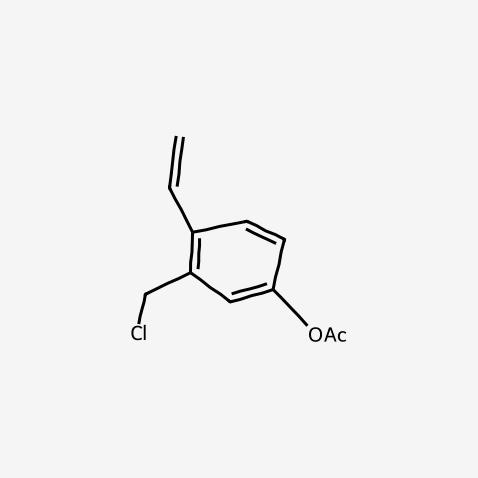 C=Cc1ccc(OC(C)=O)cc1CCl